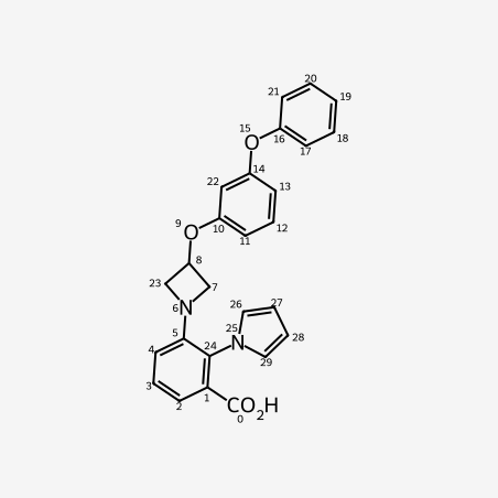 O=C(O)c1cccc(N2CC(Oc3cccc(Oc4ccccc4)c3)C2)c1-n1cccc1